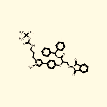 C[n+]1cc(-c2ccc(OC(CON3C(=O)c4ccccc4C3=O)C(=O)OC(c3ccccc3)c3ccccc3)cc2)cn1CCCNC(=O)OC(C)(C)C.[I-]